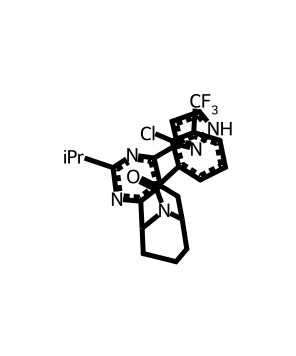 CC(C)c1nc(-c2cc[nH]n2)c2c(n1)C1CCCC(C2)N1C(=O)c1cccc(C(F)(F)F)c1Cl